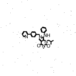 CC(C)Cn1c(=O)n(C)c(=O)c2cn(Cc3ccc(-c4ccccn4)cc3)c(Nc3ccccc3)c21